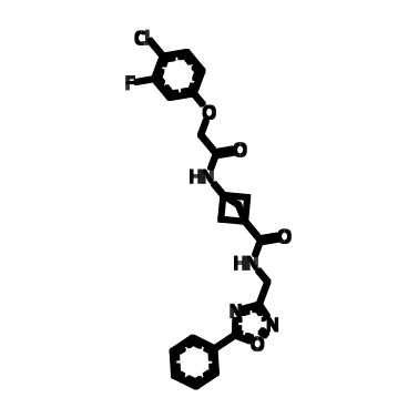 O=C(COc1ccc(Cl)c(F)c1)NC12CC(C(=O)NCc3noc(-c4ccccc4)n3)(C1)C2